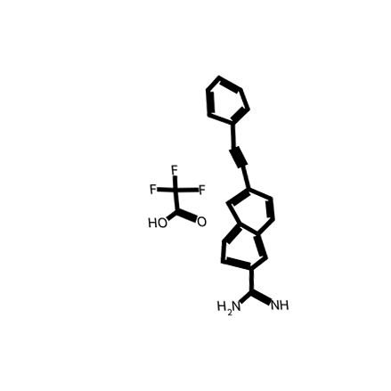 N=C(N)c1ccc2cc(C#Cc3ccccc3)ccc2c1.O=C(O)C(F)(F)F